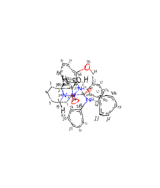 O=C(O)[C@@H]1[C@H]2CCC[C@@H](CN1C(=O)N(c1ccccc1)c1ccccc1)N2C(=O)N1c2ccccc2COc2ccccc21